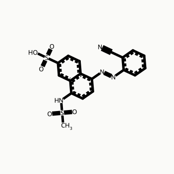 CS(=O)(=O)Nc1ccc(/N=N/c2ccccc2C#N)c2ccc(S(=O)(=O)O)cc12